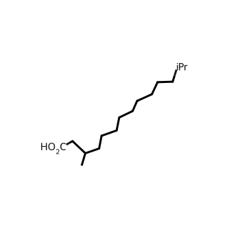 CC(C)CCCCCCCCCC(C)CC(=O)O